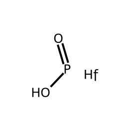 O=PO.[Hf]